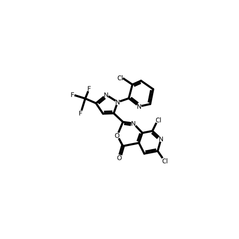 O=c1oc(-c2cc(C(F)(F)F)nn2-c2ncccc2Cl)nc2c(Cl)nc(Cl)cc12